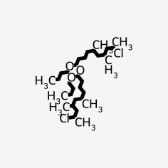 CCCCOC(CCCC(C)CC(C)CC(C)Cl)OC(CCCC(C)CC(C)CC(C)Cl)OCCCC